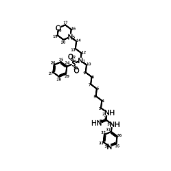 N=C(NCCCCCCCCN(CCCN1CCOCC1)S(=O)(=O)c1ccccc1)Nc1ccncc1